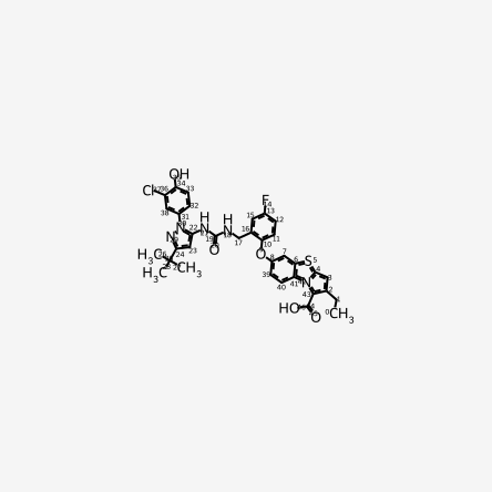 CCc1cc2sc3cc(Oc4ccc(F)cc4CNC(=O)Nc4cc(C(C)(C)C)nn4-c4ccc(O)c(Cl)c4)ccc3n2c1C(=O)O